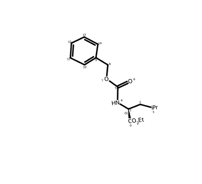 CCOC(=O)[C@H](CC(C)C)NC(=O)OCc1ccccc1